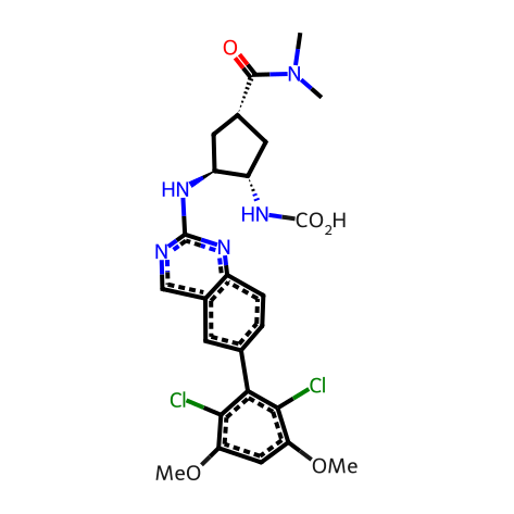 COc1cc(OC)c(Cl)c(-c2ccc3nc(N[C@H]4C[C@H](C(=O)N(C)C)C[C@@H]4NC(=O)O)ncc3c2)c1Cl